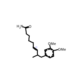 COc1ccc(CC(C)/C=C/CCCCC(N)=O)cc1OC